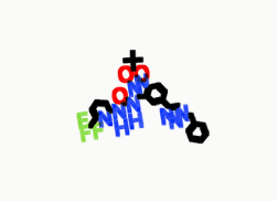 CC(C)(C)C(=O)On1nc(NC(=O)Nc2cccc(C(F)(F)F)n2)c2cc(-c3cn(Cc4ccccc4)nn3)ccc21